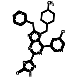 CC1CCC(Cn2c(Sc3ccccc3)nc3nc(-c4n[nH]c(=O)o4)nc(-c4cncc(Cl)c4)c32)CC1